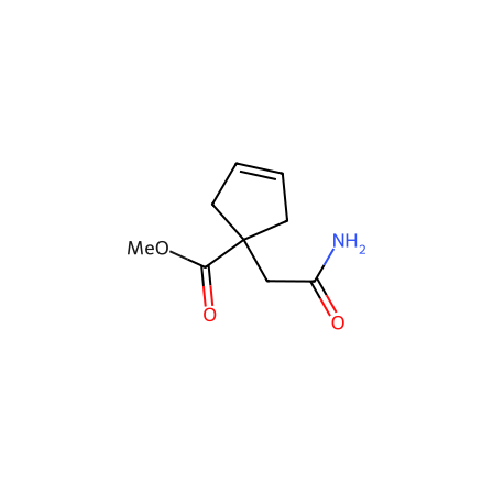 COC(=O)C1(CC(N)=O)CC=CC1